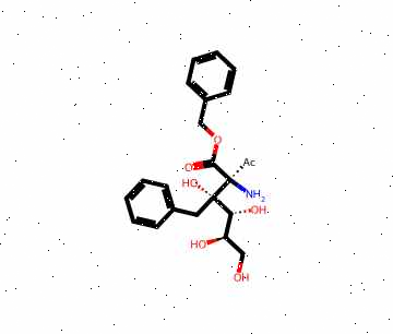 CC(=O)[C@@](N)(C(=O)OCc1ccccc1)[C@](O)(Cc1ccccc1)[C@H](O)[C@H](O)CO